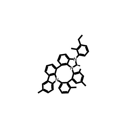 CCc1cccc(N2c3cccc4c3N(c3c(C)cc(C)cc3-c3c(C)cccc3-n3c5ccc(C)cc5c5cccc-4c53)[C@@H]2C)c1C